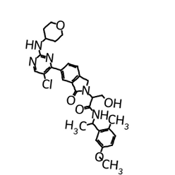 COc1ccc(C)c(C(C)NC(=O)C(CO)N2Cc3ccc(-c4nc(NC5CCOCC5)ncc4Cl)cc3C2=O)c1